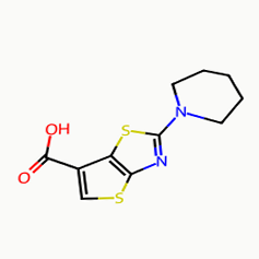 O=C(O)c1csc2nc(N3CCCCC3)sc12